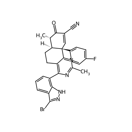 Cc1nc(-c2cccc3c(Br)n[nH]c23)c2c(n1)[C@@]1(c3ccc(F)cc3)C=C(C#N)C(=O)[C@@H](C)[C@@H]1CC2